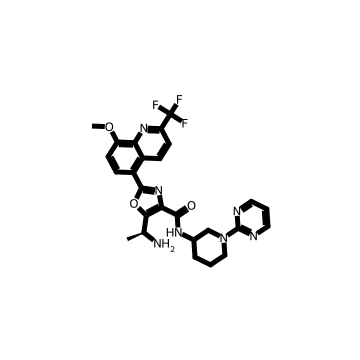 COc1ccc(-c2nc(C(=O)NC3CCCN(c4ncccn4)C3)c([C@H](C)N)o2)c2ccc(C(F)(F)F)nc12